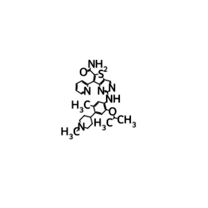 Cc1cc(Nc2ncc3sc(C(N)=O)c(-c4ccccn4)c3n2)c(OC(C)C)cc1C1CCN(C)CC1